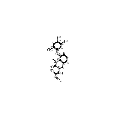 CN1C(=O)[C@H](NC(N)=O)Cc2cccc(Oc3cc(F)c(F)cc3Cl)c21